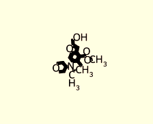 CCc1c(N(CC)C2CCOCC2)cc2oc(CO)cc2c1C(=O)OC